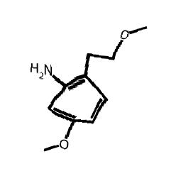 COCCc1ccc(OC)cc1N